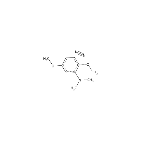 COc1ccc(OC)c(N(C)C)c1.N#N